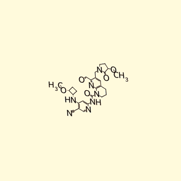 COC1CCN(Cc2cc3c(nc2C=O)N(C(=O)Nc2cc(N[C@H]4CC[C@H]4OC)c(C#N)cn2)CCC3)C1=O